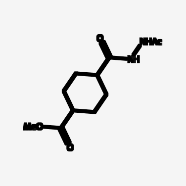 COC(=O)C1CCC(C(=O)NNC(C)=O)CC1